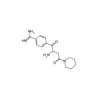 N=C(N)c1ccc(C(=O)C(N)CC(=O)N2CC[CH]CC2)cc1